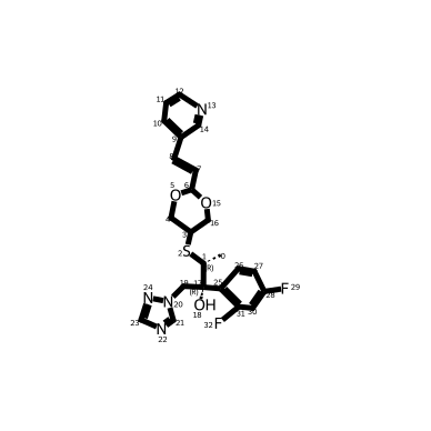 C[C@@H](SC1COC(C=Cc2cccnc2)OC1)[C@](O)(Cn1cncn1)c1ccc(F)cc1F